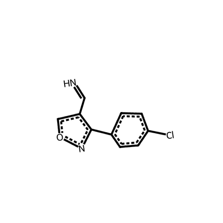 N=Cc1conc1-c1ccc(Cl)cc1